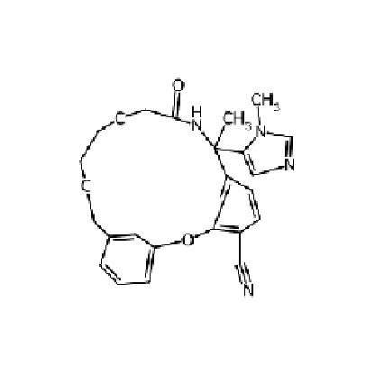 Cn1cncc1C1(C)NC(=O)CCCCCCc2cccc(c2)Oc2cc1ccc2C#N